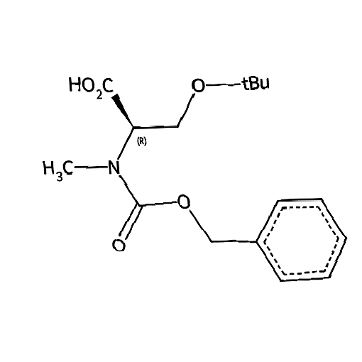 CN(C(=O)OCc1ccccc1)[C@H](COC(C)(C)C)C(=O)O